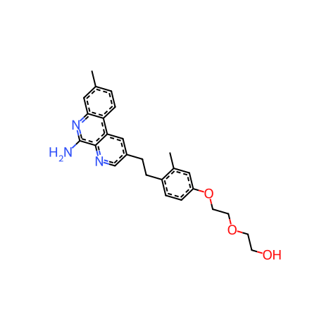 Cc1ccc2c(c1)nc(N)c1ncc(CCc3ccc(OCCOCCO)cc3C)cc12